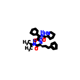 CC(C)NC(=O)[C@@H](CCCc1ccccc1)NC(=O)[C@H](NC(=O)[C@@H]1CCCCN1)C1CCCCC1